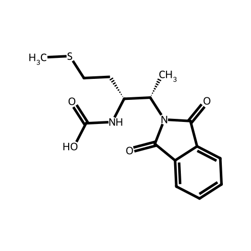 CSCC[C@@H](NC(=O)O)[C@H](C)N1C(=O)c2ccccc2C1=O